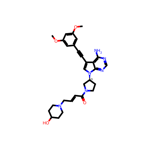 COc1cc(C#Cc2cn([C@H]3CCN(C(=O)C=CCN4CCC(O)CC4)C3)c3ncnc(N)c23)cc(OC)c1